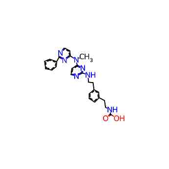 CN(c1ccnc(NCCc2cccc(CCNC(=O)O)c2)n1)c1ccnc(-c2ccccc2)n1